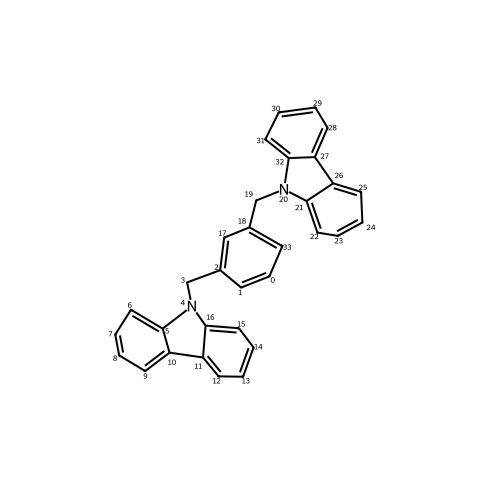 c1cc(Cn2c3ccccc3c3ccccc32)cc(Cn2c3ccccc3c3ccccc32)c1